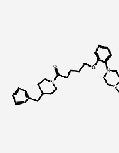 CN1CCN(c2ccccc2OCCCCC(=O)N2CCC(Cc3ccccc3)CC2)CC1